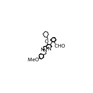 COc1ccc(Cn2ncc3c(OCC4CCCCC4)c(-c4ccccc4C=O)cnc32)cc1